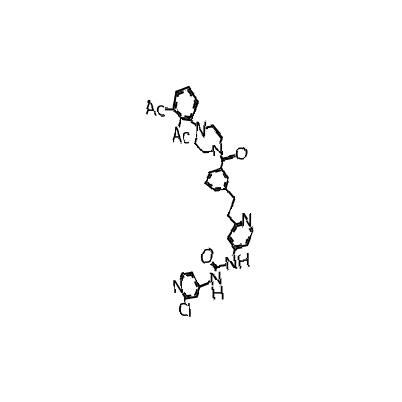 CC(=O)c1cccc(N2CCN(C(=O)c3cccc(CCc4cc(NC(=O)Nc5ccnc(Cl)c5)ccn4)c3)CC2)c1C(C)=O